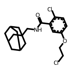 O=C(NCC12CC3CC(CC(C3)C1)C2)c1cc(OCCCl)ccc1Cl